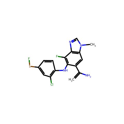 C=C(N)c1cc2c(ncn2C)c(F)c1Nc1ccc(SF)cc1Cl